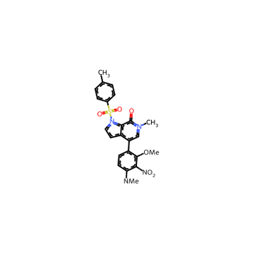 CNc1ccc(-c2cn(C)c(=O)c3c2ccn3S(=O)(=O)c2ccc(C)cc2)c(OC)c1[N+](=O)[O-]